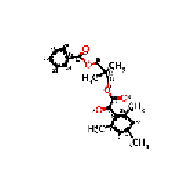 Cc1cc(C)c(C(=O)C(=O)OCC(C)(C)COC(=O)c2ccccc2)c(C)c1